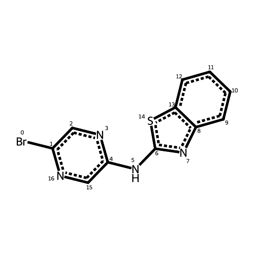 Brc1cnc(Nc2nc3ccccc3s2)cn1